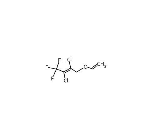 C=COCC(Cl)=C(Cl)C(F)(F)F